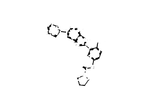 Cc1ccc(NC(=O)N2CCCC2)cc1-c1nc2ncc(-c3ccccc3)cc2[nH]1